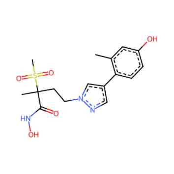 Cc1cc(O)ccc1-c1cnn(CCC(C)(C(=O)NO)S(C)(=O)=O)c1